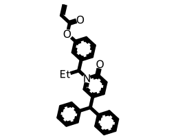 C=CC(=O)Oc1cccc(C(CC)n2cc(C(c3ccccc3)c3ccccc3)ccc2=O)c1